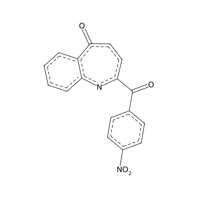 O=C(c1ccc([N+](=O)[O-])cc1)c1ccc(=O)c2ccccc2n1